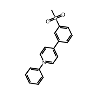 CS(=O)(=O)c1cccc(-c2cc[n+](-c3ccccc3)cc2)c1